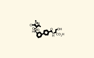 Cc1nn(C)c(Cl)c1S(=O)(=O)Nc1cccc(-c2ccc(C(=O)NC(CO)C(=O)O)cc2)c1